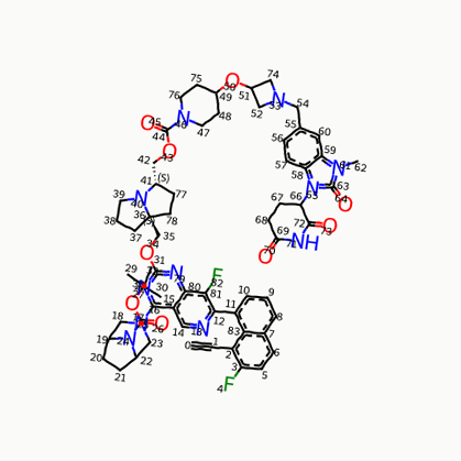 C#Cc1c(F)ccc2cccc(-c3ncc4c(N5CC6CCC(C5)N6C(=O)OC(C)(C)C)nc(OC[C@@]56CCCN5[C@H](COC(=O)N5CCC(OC7CN(Cc8ccc9c(c8)n(C)c(=O)n9C8CCC(=O)NC8=O)C7)CC5)CC6)nc4c3F)c12